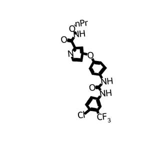 CCCONC(=O)c1cc(Oc2ccc(NC(=O)Nc3ccc(Cl)c(C(F)(F)F)c3)cc2)ccn1